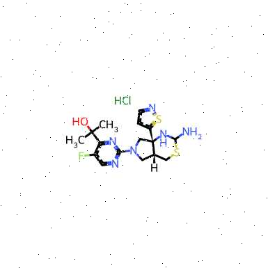 CC(C)(O)c1nc(N2C[C@H]3CSC(N)N[C@@]3(c3ccns3)C2)ncc1F.Cl